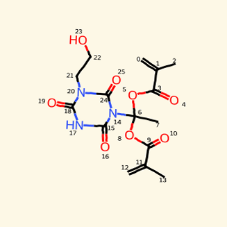 C=C(C)C(=O)OC(C)(OC(=O)C(=C)C)n1c(=O)[nH]c(=O)n(CCO)c1=O